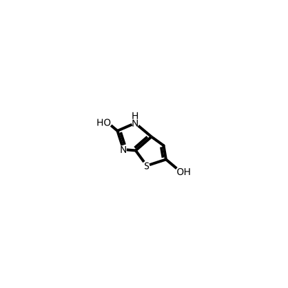 Oc1nc2sc(O)cc2[nH]1